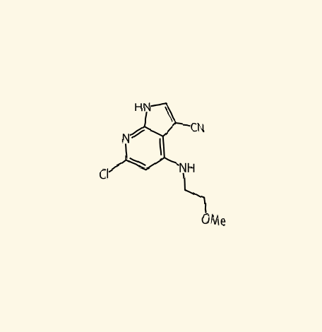 COCCNc1cc(Cl)nc2[nH]cc(C#N)c12